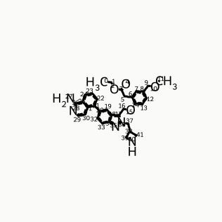 CCOC(=O)Cc1cc(COC)ccc1OCc1c2cc(-c3cccc4c(N)nccc34)ccc2nn1CC1CNC1